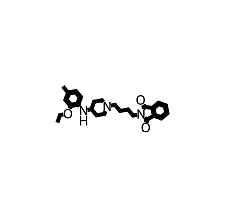 CCOc1cc(C)ccc1NC1CCN(CCCCN2C(=O)c3ccccc3C2=O)CC1